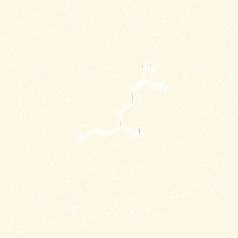 [CH2]CC=CC(C)CCC=C(C)C